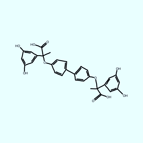 CC(Oc1ccc(-c2ccc(OC(C)(C(=O)O)c3cc(O)cc(O)c3)cc2)cc1)(C(=O)O)c1cc(O)cc(O)c1